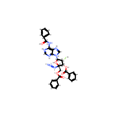 [N-]=[N+]=N[C@]1(COC(=O)c2ccccc2)O[C@@H](n2cnc3c(NC(=O)c4ccccc4)ncnc32)[C@H](F)[C@@H]1OC(=O)c1ccccc1